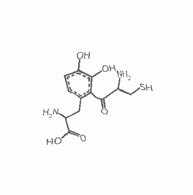 NC(Cc1ccc(O)c(O)c1C(=O)C(N)CS)C(=O)O